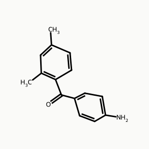 Cc1ccc(C(=O)c2ccc(N)cc2)c(C)c1